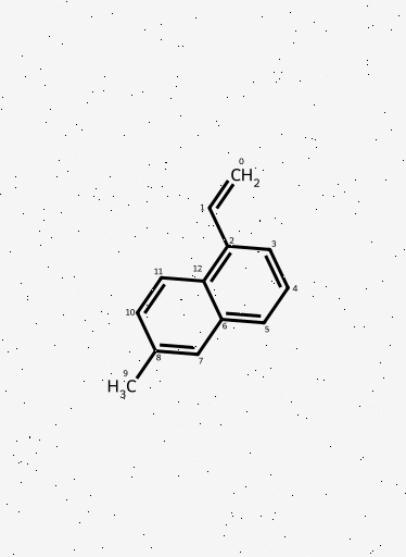 C=Cc1cccc2cc(C)ccc12